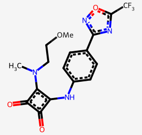 COCCN(C)c1c(Nc2ccc(-c3noc(C(F)(F)F)n3)cc2)c(=O)c1=O